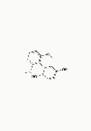 COc1cccc(OC)c1-c1cc(O)ccc1O